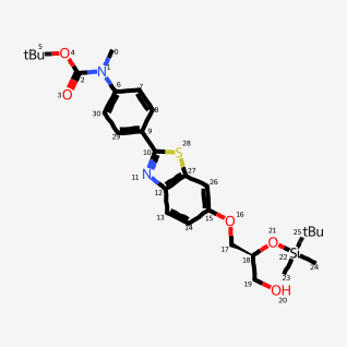 CN(C(=O)OC(C)(C)C)c1ccc(-c2nc3ccc(OC[C@H](CO)O[Si](C)(C)C(C)(C)C)cc3s2)cc1